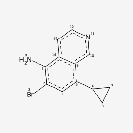 Nc1c(Br)cc(C2CC2)c2cnccc12